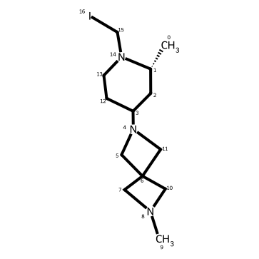 C[C@@H]1CC(N2CC3(CN(C)C3)C2)CCN1CI